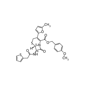 COc1ccc(COC(=O)C2=C(c3ccc(C)o3)CS[C@H]3[C@H](NC(=O)Cc4cccs4)C(=O)N23)cc1